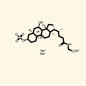 C[C@H](CCC(=O)NCC(=O)[O-])[C@H]1CC[C@H]2[C@@H]3[C@H](O)C[C@@H]4C[C@H](OS(=O)(=O)[O-])CC[C@]4(C)[C@H]3CC[C@]12C.[Na+].[Na+]